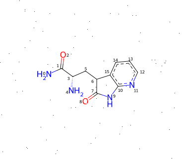 NC(=O)[C@@H](N)CC1C(=O)Nc2ncccc21